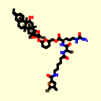 C/C=C1\C=C[C@@]2(C)C(=C1)CC[C@@H]1[C@@H]2[C@@H](O)C[C@@]2(C)[C@H]1C[C@H]1OC(CCC)O[C@]12C(=O)COC1CCCC(COC(=O)[C@H](CCCNC(N)=O)NC(=O)C(NC(=O)CCCCCNC(=O)C2CC(C)C(CC)S2)C(C)C)O1